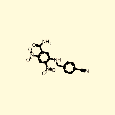 N#Cc1ccc(CNc2cc(C(N)=O)c([N+](=O)[O-])cc2[N+](=O)[O-])cc1